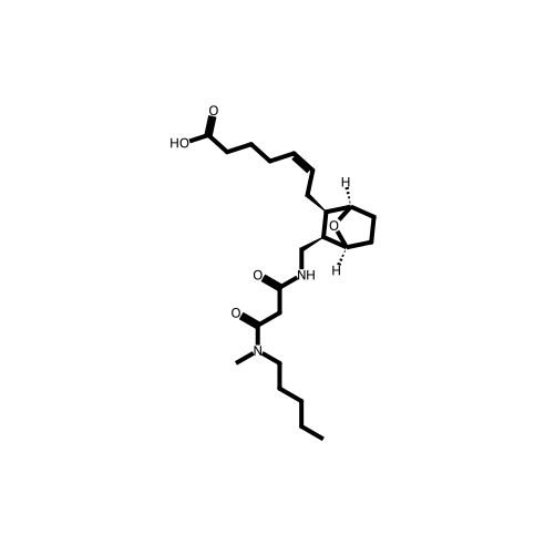 CCCCCN(C)C(=O)CC(=O)NC[C@H]1[C@@H](C/C=C\CCCC(=O)O)[C@H]2CC[C@@H]1O2